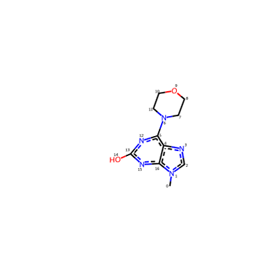 Cn1cnc2c(N3CCOCC3)nc(O)nc21